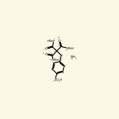 CCCCCCCCCC(=O)C(Cc1ccc(S(=O)(=O)O)cc1)(C(=O)CCCCCCCCC)C(=O)CCCCCCCCC.N